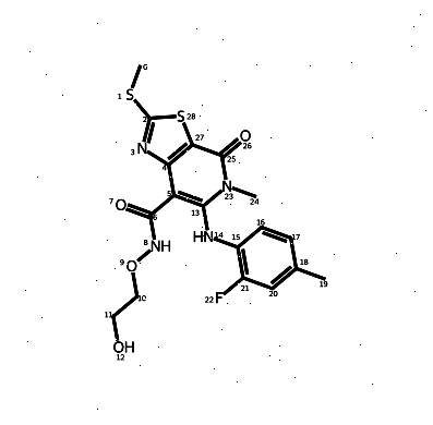 CSc1nc2c(C(=O)NOCCO)c(Nc3ccc(C)cc3F)n(C)c(=O)c2s1